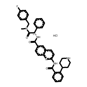 CN(Cc1ccc(F)cc1)C(=O)[C@@H](NC(=O)c1ccc2nc(NC(=O)c3ccccc3C3CCNCC3)ccc2c1)c1ccccc1.Cl